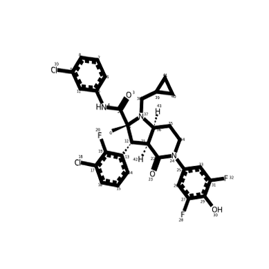 C[C@]1(C(=O)Nc2cccc(Cl)c2)[C@@H](c2cccc(Cl)c2F)[C@@H]2C(=O)N(c3cc(F)c(O)c(F)c3)CC[C@@H]2N1CC1CC1